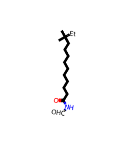 CCC(C)(C)CCCCCCCCCC(=O)NC=O